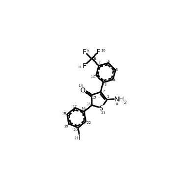 NC1=C(c2cccc(C(F)(F)F)c2)C(=O)C(c2cccc(I)c2)S1